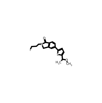 COC(C)c1ccc(-c2ccc3c(c2)CN(CCCI)C3=O)s1